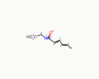 CC=CC=CC(=O)NCC(=O)O